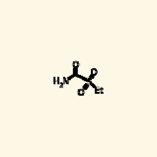 CCS(=O)(=O)C(N)=O